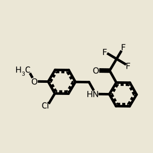 COc1ccc(CNc2ccccc2C(=O)C(F)(F)F)cc1Cl